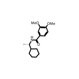 COc1ccc(C(=O)N[C@@H](C)C2CCCCC2)cc1OC